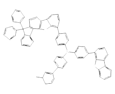 CC1C=C(c2ccc(N(c3ccc(-c4cccc5c4sc4ccccc45)cc3)c3ccc(-c4cccc5c4sc4c6c(ccc45)C(c4ccccc4)(c4ccccc4)c4ccccc4-6)cc3)cc2)C=CC1